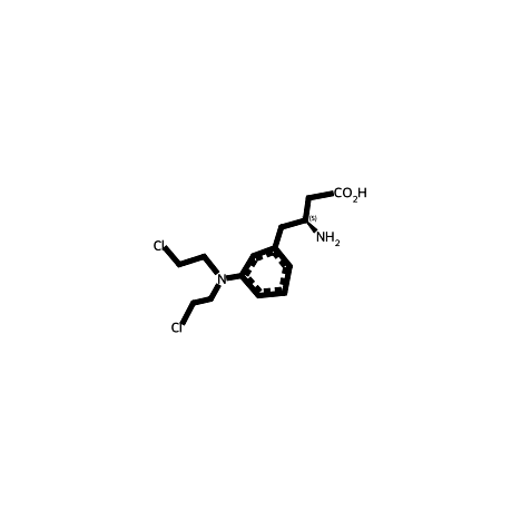 N[C@H](CC(=O)O)Cc1cccc(N(CCCl)CCCl)c1